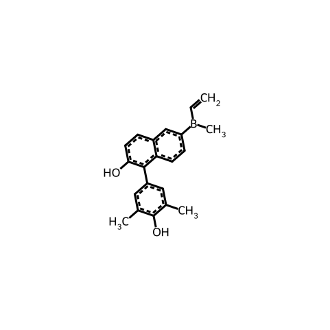 C=CB(C)c1ccc2c(-c3cc(C)c(O)c(C)c3)c(O)ccc2c1